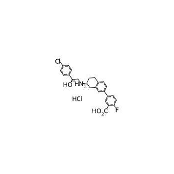 Cl.O=C(O)c1cc(-c2ccc3c(c2)C[C@@H](NC[C@@H](O)c2ccc(Cl)cc2)CC3)ccc1F